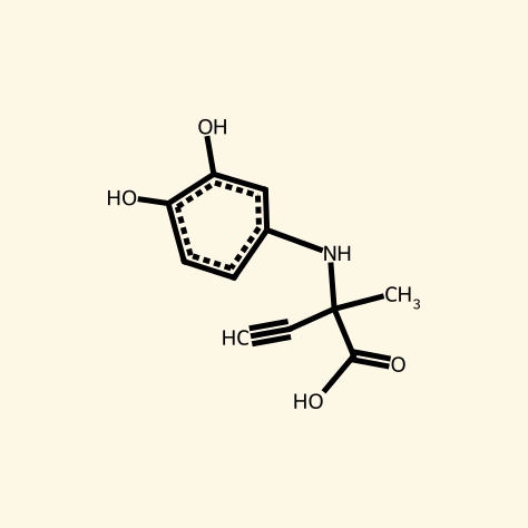 C#CC(C)(Nc1ccc(O)c(O)c1)C(=O)O